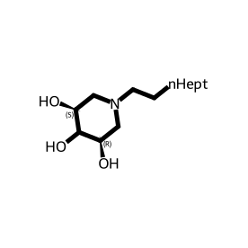 CCCCCCCCCN1C[C@@H](O)C(O)[C@@H](O)C1